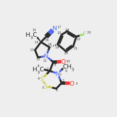 CN1C(=O)CSSC1(C)C(=O)N1CC[C@](C)(C#N)[C@@H]1c1ccc(F)cc1